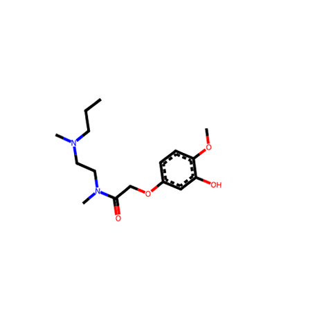 CCCN(C)CCN(C)C(=O)COc1ccc(OC)c(O)c1